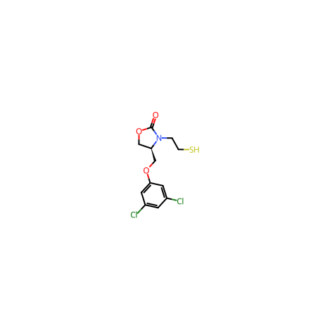 O=C1OC[C@H](COc2cc(Cl)cc(Cl)c2)N1CCS